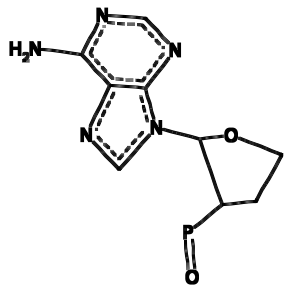 Nc1ncnc2c1ncn2C1OCCC1P=O